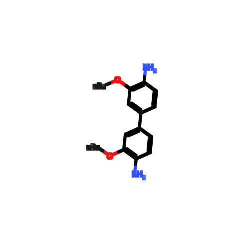 CCCCOc1cc(-c2ccc(N)c(OCCCC)c2)ccc1N